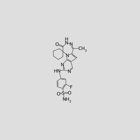 CC1=NNC(=O)C2(CCCCC2)n2c1cc1cnc(Nc3ccc(S(N)(=O)=O)c(F)c3)nc12